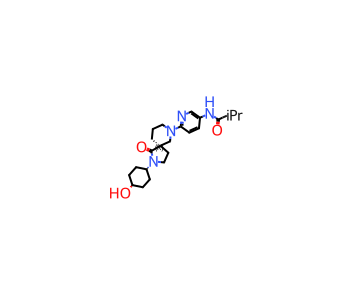 CC(C)C(=O)Nc1ccc(N2CCC[C@@]3(CCN([C@H]4CC[C@H](O)CC4)C3=O)C2)nc1